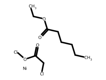 CCCCCC(=O)OCC.O=C(CCl)OCl.[Ni]